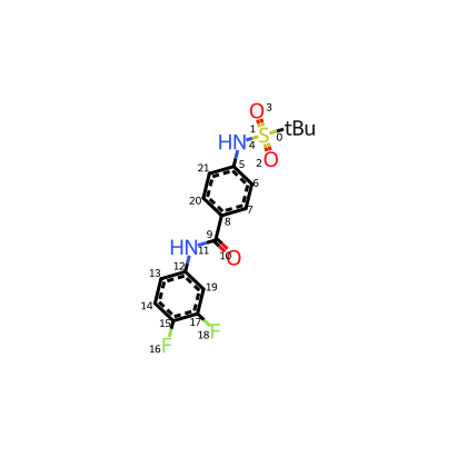 CC(C)(C)S(=O)(=O)Nc1ccc(C(=O)Nc2ccc(F)c(F)c2)cc1